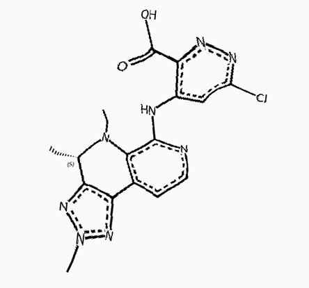 C[C@H]1c2nn(C)nc2-c2ccnc(Nc3cc(Cl)nnc3C(=O)O)c2N1C